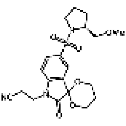 COC[C@@H]1CCCN1S(=O)(=O)c1ccc2c(c1)C1(OCCCO1)C(=O)N2CCC#N